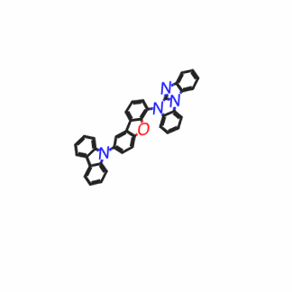 c1ccc2c(c1)nc1n(-c3cccc4c3oc3ccc(-n5c6ccccc6c6ccccc65)cc34)c3ccccc3n21